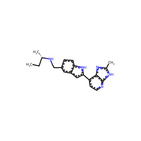 CC[C@H](C)NCc1ccc2[nH]c(-c3ccnc4[nH]c(C)nc34)cc2c1